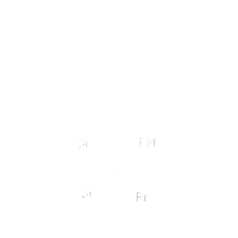 BrC(Br)(Br)Pc1ccccc1